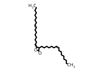 CCCCCCCC/C=C\CCCCCCC1C(=O)O/C1=C/CCCCCC/C=C/CCCCCCCC